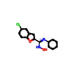 ON/C(=N\c1ccccc1)c1cc2cc(Cl)ccc2o1